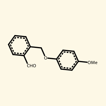 COc1ccc(OCc2ccccc2C=O)cc1